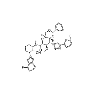 CO[C@@H]1[C@@H](n2cc(-c3cccc(F)c3)nn2)[C@H]2OC(c3ccccc3)OC[C@H]2O[C@H]1C(=O)N[C@@H]1CCC[C@H](n2cc3c(F)cccc3n2)[C@H]1O